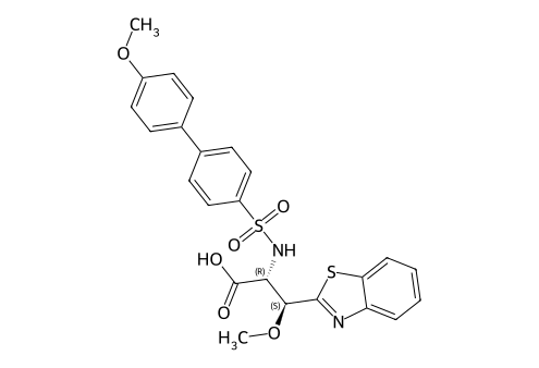 COc1ccc(-c2ccc(S(=O)(=O)N[C@@H](C(=O)O)[C@H](OC)c3nc4ccccc4s3)cc2)cc1